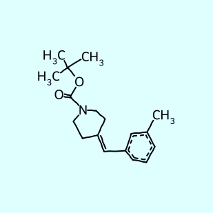 Cc1cccc(C=C2CCN(C(=O)OC(C)(C)C)CC2)c1